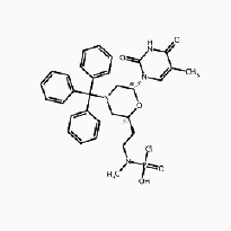 Cc1cn([C@H]2CN(C(c3ccccc3)(c3ccccc3)c3ccccc3)C[C@H](CCN(C)P(=O)(O)Cl)O2)c(=O)[nH]c1=O